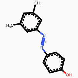 Cc1cc(C)cc(/N=N/c2ccc(O)cc2)c1